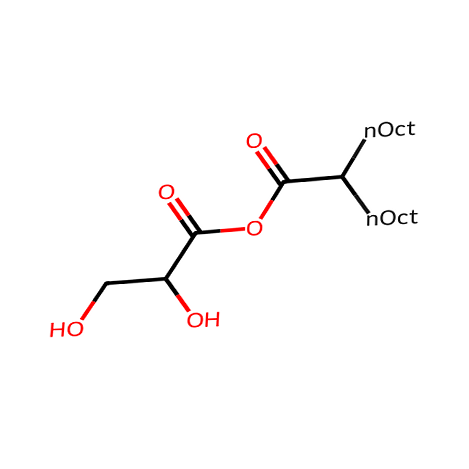 CCCCCCCCC(CCCCCCCC)C(=O)OC(=O)C(O)CO